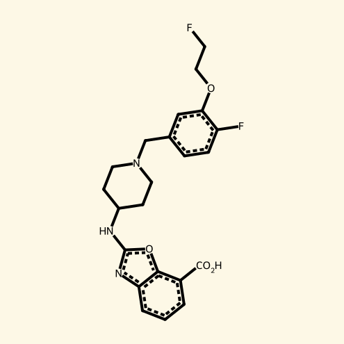 O=C(O)c1cccc2nc(NC3CCN(Cc4ccc(F)c(OCCF)c4)CC3)oc12